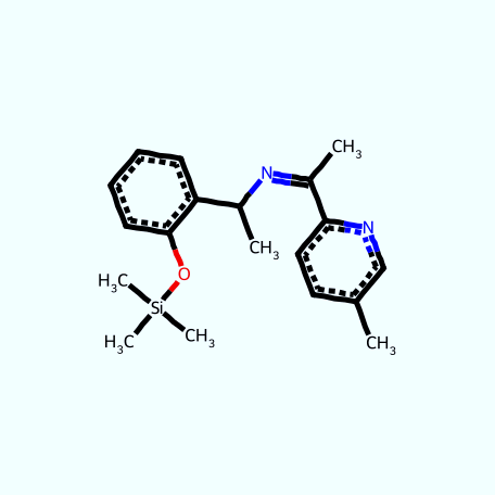 CC(=NC(C)c1ccccc1O[Si](C)(C)C)c1ccc(C)cn1